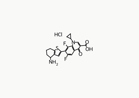 Cl.NC1CCCc2sc(-c3c(F)cc4c(=O)c(C(=O)O)cn(C5CC5)c4c3F)cc21